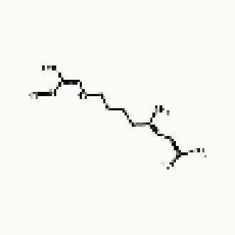 N=N/C(C=O)=C\NCCCC/C(N)=C/C=C(N)N